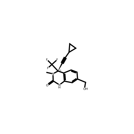 CN1C(=O)Nc2cc(CO)ccc2[C@@]1(C#CC1CC1)C(F)(F)F